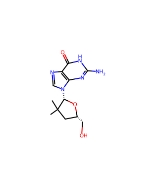 CC1(C)C[C@@H](CO)O[C@H]1n1cnc2c(=O)[nH]c(N)nc21